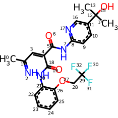 CC(=N)/C=C(/C(=O)Nc1ccc(C(C)(C)O)cn1)C(=O)Nc1ccccc1OCC(F)(F)F